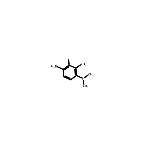 Cc1c(N(C)C)ccc([SiH3])c1F